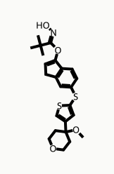 COC1(c2csc(Sc3ccc4c(c3)CC=C4O/C(=N/O)C(C)(C)C)c2)CCOCC1